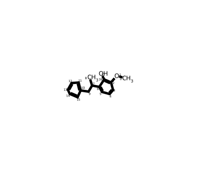 COc1cccc(C(C)Cc2ccccc2)c1O